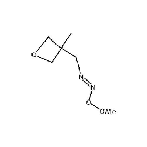 COO/N=N/CC1(C)COC1